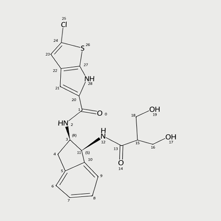 O=C(N[C@@H]1Cc2ccccc2[C@@H]1NC(=O)C(CO)CO)c1cc2cc(Cl)sc2[nH]1